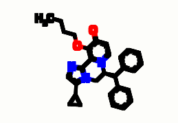 CCCCOc1c2n(ccc1=O)[C@@H](C(c1ccccc1)c1ccccc1)Cn1c(C3CC3)cnc1-2